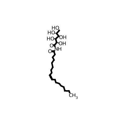 CCCCCCCC/C=C\CCCCCCCC(=O)NC(=O)[C@H](O)[C@@H](O)[C@H](O)[C@H](O)CO